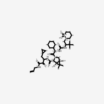 C=CCNC(=O)C(=O)C(CC1CC1)NC(=O)[C@@H]1[C@@H]2[C@H](CN1C(=O)[C@@H](NC(=O)NC(CN1CCCCS1(=O)=O)C(C)(C)C)C1CCCCC1)C2(C)C